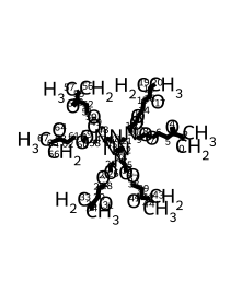 C=C(C)C(=O)CCOOCN(COOCCC(=O)C(=C)C)c1nc(N(COOCCC(=O)C(=C)C)COOCCC(=O)C(=C)C)nc(N(COOCCC(=O)C(=C)C)COOCCC(=O)C(=C)C)n1